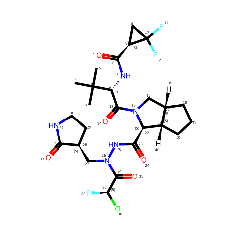 CC(C)(C)[C@H](NC(=O)[C@H]1CC1(F)F)C(=O)N1C[C@@H]2CCC[C@@H]2[C@H]1C(=O)NN(C[C@@H]1CCNC1=O)C(=O)[C@H](F)Cl